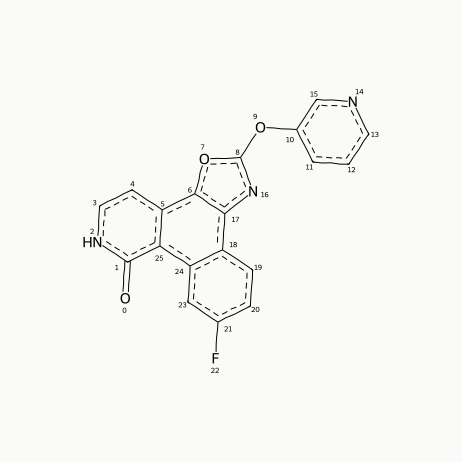 O=c1[nH]ccc2c3oc(Oc4cccnc4)nc3c3ccc(F)cc3c12